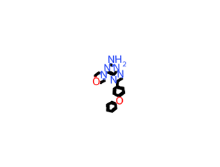 Nc1nc(N2CCOCC2)c2nc(-c3ccc(Oc4ccccc4)cc3)cnc2n1